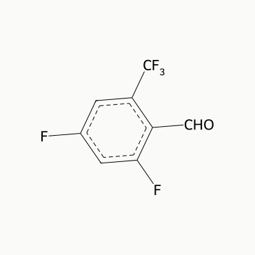 O=Cc1c(F)cc(F)cc1C(F)(F)F